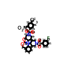 O=C1OCc2ccccc2[N+]1(C1CCN(S(=O)(=O)c2cccc(F)c2)CC1)C1CCN(S(=O)(=O)c2ccc(C(F)(F)F)cc2[N+](=O)[O-])CC1